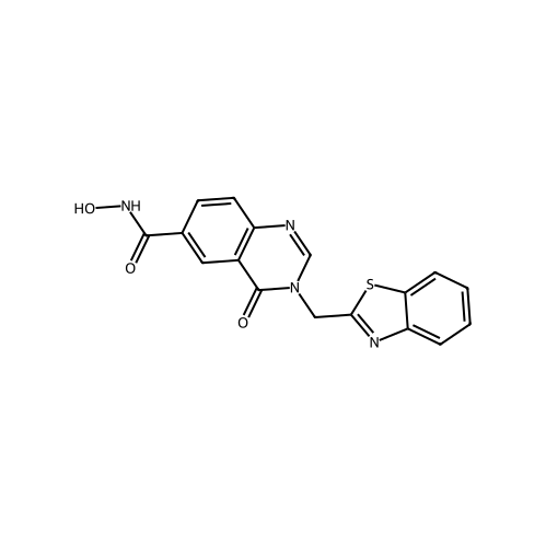 O=C(NO)c1ccc2ncn(Cc3nc4ccccc4s3)c(=O)c2c1